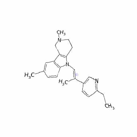 CCc1ccc(/C(C)=C/n2c3c(c4cc(C)ccc42)CN(C)CC3)cn1